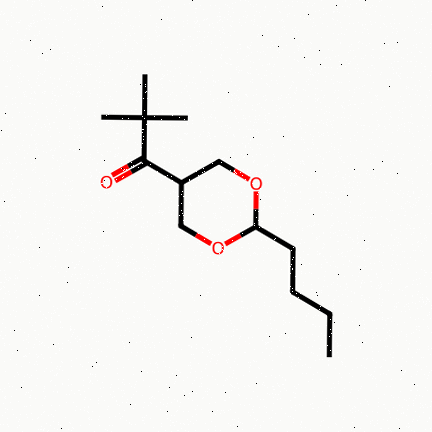 CCCCC1OCC(C(=O)C(C)(C)C)CO1